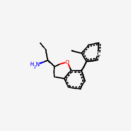 CCC(N)C1Cc2cccc(-c3ccccc3C)c2O1